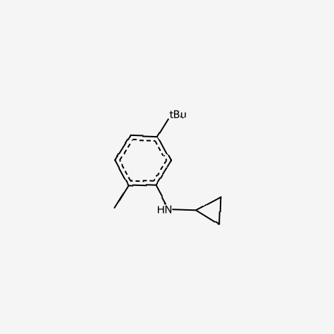 Cc1ccc(C(C)(C)C)cc1NC1CC1